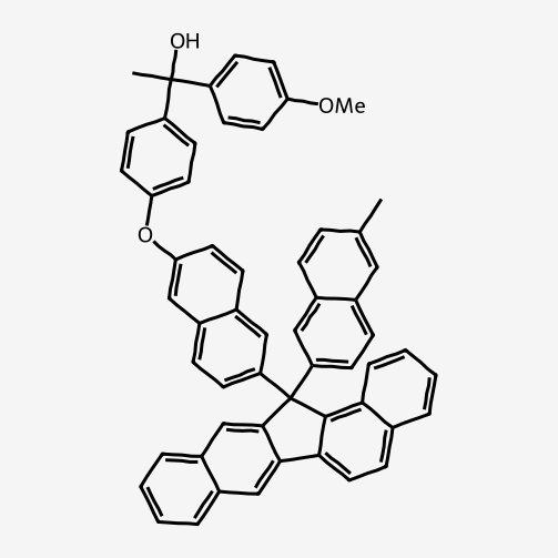 COc1ccc(C(C)(O)c2ccc(Oc3ccc4cc(C5(c6ccc7cc(C)ccc7c6)c6cc7ccccc7cc6-c6ccc7ccccc7c65)ccc4c3)cc2)cc1